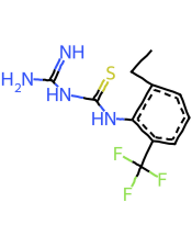 CCc1cccc(C(F)(F)F)c1NC(=S)NC(=N)N